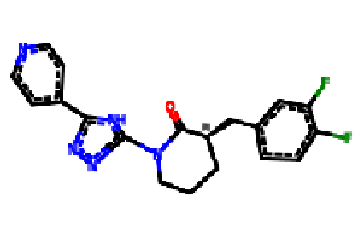 O=C1[C@@H](Cc2ccc(F)c(F)c2)CCCN1c1nnc(-c2ccncc2)[nH]1